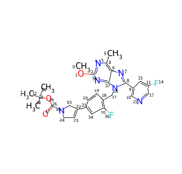 COc1nc(C)c2nc(-c3cncc(F)c3)n(Cc3ccc(C4=CCN(C(=O)OC(C)(C)C)C4)cc3F)c2n1